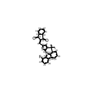 CC1(C)c2cc(C=C3C(=O)c4ccccc4C3=O)sc2-n2c3c(F)cccc3c3cccc1c32